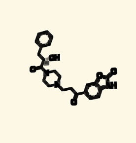 O=C(CCN1CCN(C(=O)[C@@H](O)Cc2ccccc2)CC1)c1ccc2[nH]c(=O)oc2c1